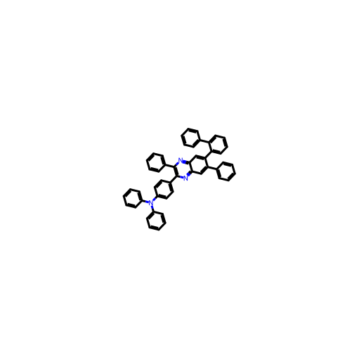 c1ccc(-c2ccccc2-c2cc3nc(-c4ccccc4)c(-c4ccc(N(c5ccccc5)c5ccccc5)cc4)nc3cc2-c2ccccc2)cc1